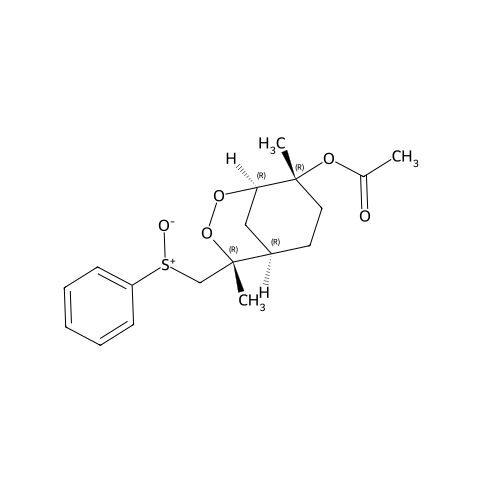 CC(=O)O[C@]1(C)CC[C@@H]2C[C@H]1OO[C@@]2(C)C[S+]([O-])c1ccccc1